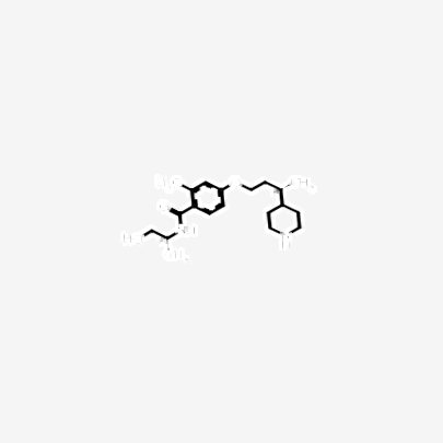 Cc1cc(OCC[C@@H](C)C2CCNCC2)ccc1C(=O)N[C@H](C)CO